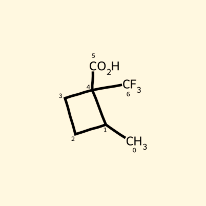 CC1CCC1(C(=O)O)C(F)(F)F